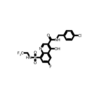 O=C(NCc1ccc(Cl)cc1)c1cnc2c(S(=O)(=O)NCC(F)(F)F)cc(F)cc2c1O